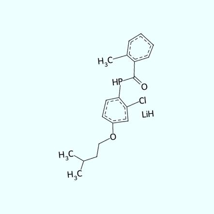 Cc1ccccc1C(=O)Pc1ccc(OCCC(C)C)cc1Cl.[LiH]